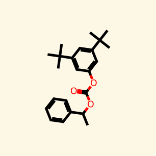 CC(OC(=O)Oc1cc(C(C)(C)C)cc(C(C)(C)C)c1)c1ccccc1